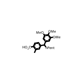 CCCCCC(c1ccc(C(=O)O)c(C)c1)c1cc(OC)c(OC)c(OC)c1